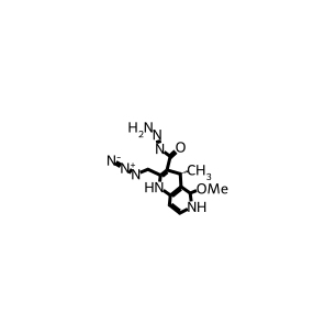 COC1NC=CC2=C1[C@@H](C)C(C(=O)N=NN)=C(CN=[N+]=[N-])N2